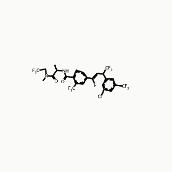 CC(NC(=O)c1ccc(/C(F)=C/C(c2cc(Cl)cc(C(F)(F)F)c2)C(F)(F)F)cc1C(F)(F)F)C(=O)N(C)CC(F)(F)F